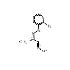 CCOC(=O)C(/C=N/O)=N/Nc1ccccc1Cl